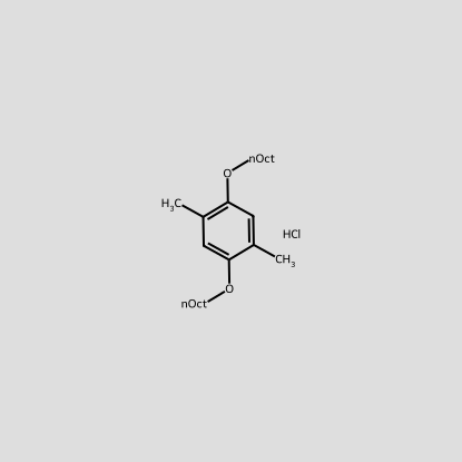 CCCCCCCCOc1cc(C)c(OCCCCCCCC)cc1C.Cl